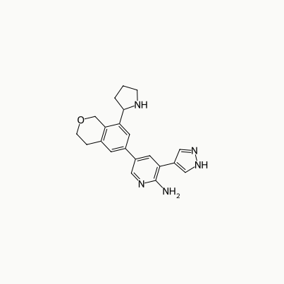 Nc1ncc(-c2cc3c(c(C4CCCN4)c2)COCC3)cc1-c1cn[nH]c1